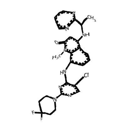 CC(Nc1cc(=O)n(C)c2c(Nc3nc(N4CCC(F)(F)CC4)ncc3Cl)cccc12)c1ncccn1